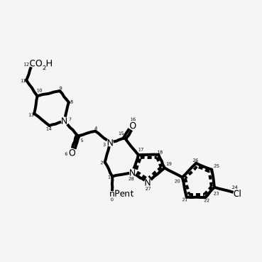 CCCCCC1CN(CC(=O)N2CCC(CC(=O)O)CC2)C(=O)c2cc(-c3ccc(Cl)cc3)nn21